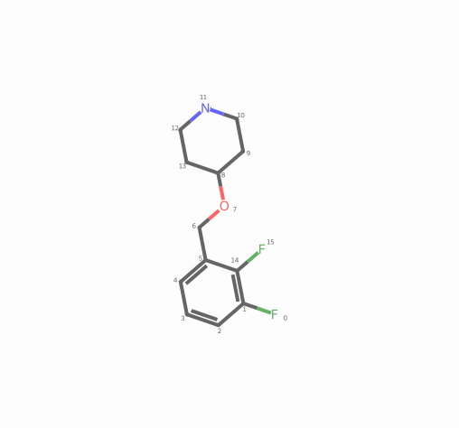 Fc1cccc(COC2CC[N]CC2)c1F